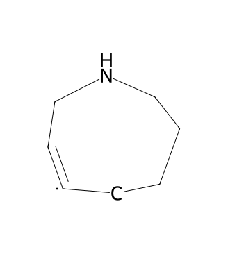 [C]1=C\CNCCCC/1